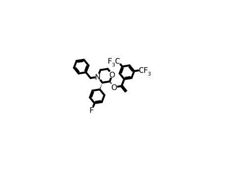 C=C(O[C@H]1OCCN(Cc2ccccc2)[C@H]1C1C=CC(F)=CC1)c1cc(C(F)(F)F)cc(C(F)(F)F)c1